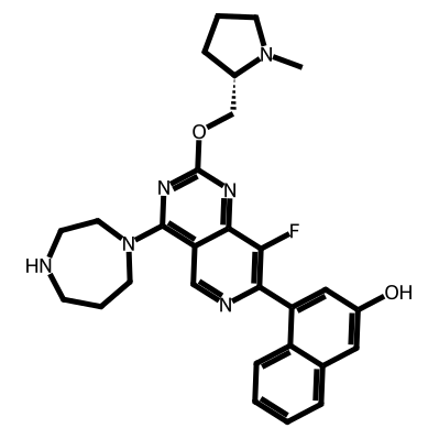 CN1CCC[C@H]1COc1nc(N2CCCNCC2)c2cnc(-c3cc(O)cc4ccccc34)c(F)c2n1